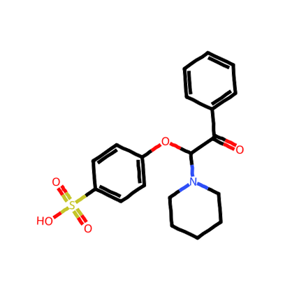 O=C(c1ccccc1)C(Oc1ccc(S(=O)(=O)O)cc1)N1CCCCC1